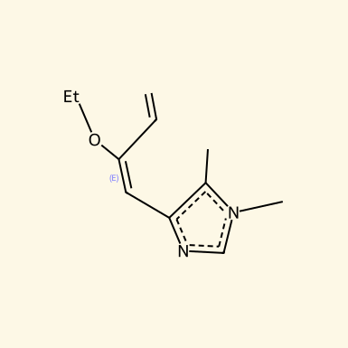 C=C/C(=C\c1ncn(C)c1C)OCC